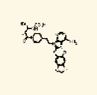 C[C@@H](C(=O)N1CCC(CCn2c(Sc3cc4c(cc3Br)OCO4)nc3c(N)ncnc32)CC1)C(NC(=O)O)C(C)(C)C